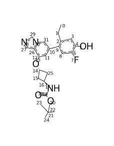 CCc1cc(O)c(F)cc1-c1cc(O[C@H]2C[C@H](NC(=O)OC(C)(C)C)C2)c2cncn2c1